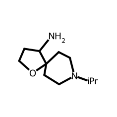 CC(C)N1CCC2(CC1)OCCC2N